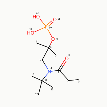 CCC(=O)N(CC(C)(C)OP(=O)(O)O)C(C)(C)C